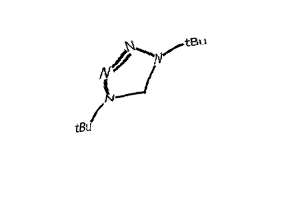 CC(C)(C)N1CN(C(C)(C)C)N=N1